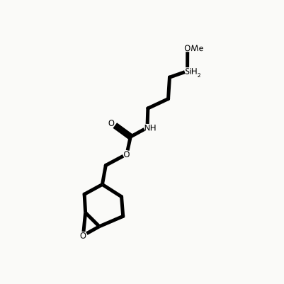 CO[SiH2]CCCNC(=O)OCC1CCC2OC2C1